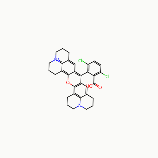 O=C(O)c1c(Cl)ccc(Cl)c1C1=c2cc3c4c(c2Oc2c1cc1c5c2CCCN5CCC1)CCC[N+]=4CCC3